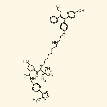 Cc1ncsc1-c1ccc(CNC(=O)[C@@H]2C[C@@H](O)CN2C(=O)[C@@H](NCCCCCCCNCCOc2ccc(C(=C(CCCl)c3ccccc3)c3ccc(O)cc3)cc2)C(C)(C)C)cc1